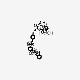 CCOC(=O)[C@H](COCc1ccc(CNS(=O)(=O)c2ccc(Cl)c(S(=O)(=O)NCc3ccccc3)c2)cc1)N[C@@H](C)C(=O)N1CCC[C@H]1C(=O)O